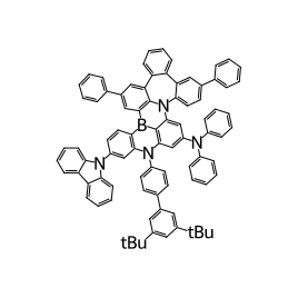 CC(C)(C)c1cc(-c2ccc(N3c4cc(-n5c6ccccc6c6ccccc65)ccc4B4c5cc(-c6ccccc6)cc6c5N(c5ccc(-c7ccccc7)cc5-c5ccccc5-6)c5cc(N(c6ccccc6)c6ccccc6)cc3c54)cc2)cc(C(C)(C)C)c1